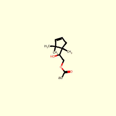 CCC(C)C(=O)OCC(O)C1(C)CC=CC1(C)C